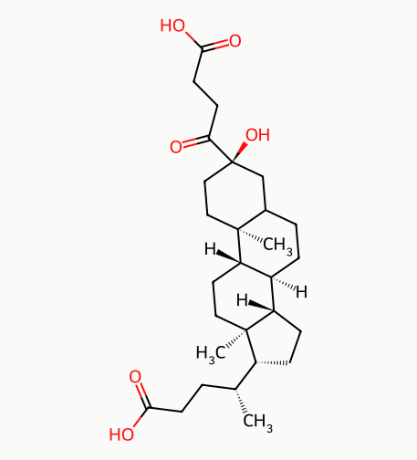 C[C@H](CCC(=O)O)[C@H]1CC[C@H]2[C@@H]3CCC4C[C@@](O)(C(=O)CCC(=O)O)CC[C@]4(C)[C@H]3CC[C@]12C